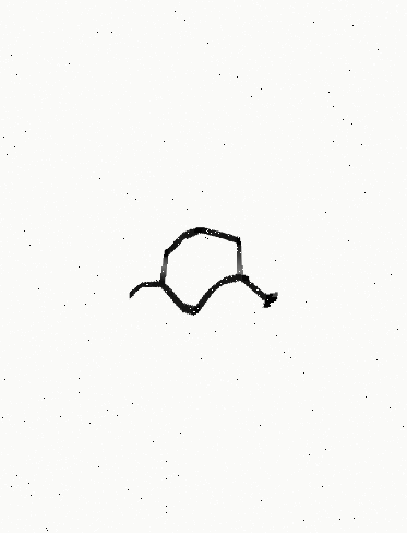 CC1CCC[C](F)C1